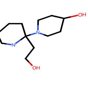 OCCC1(N2CCC(O)CC2)CCCC[N]1